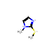 CSc1nc[c]n1C